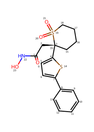 O=C(C[C@]1(c2ccc(-c3ccccc3)s2)CCCCS1(=O)=O)NO